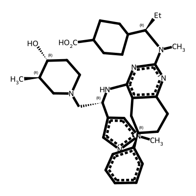 CC[C@H](C1CCC(C(=O)O)CC1)N(C)c1nc2c(c(N[C@@H](CN3CC[C@@H](O)[C@H](C)C3)c3cnn(C)c3)n1)C[C@H](c1ccccc1)CC2